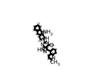 Cc1ccc2c(n1)CCC=C2c1n[nH]c2nc(N3CCC4(CC3)Cc3ccccc3[C@H]4N)[nH]c(=O)c12